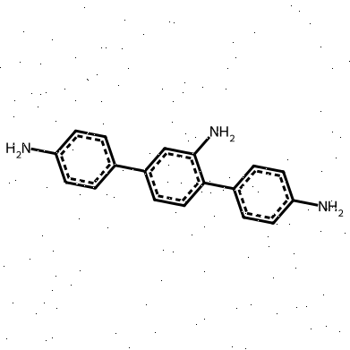 Nc1ccc(-c2ccc(-c3ccc(N)cc3)c(N)c2)cc1